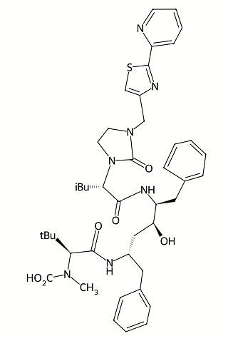 CCC(C)[C@@H](C(=O)N[C@@H](Cc1ccccc1)[C@@H](O)C[C@H](Cc1ccccc1)NC(=O)[C@@H](N(C)C(=O)O)C(C)(C)C)N1CCN(Cc2csc(-c3ccccn3)n2)C1=O